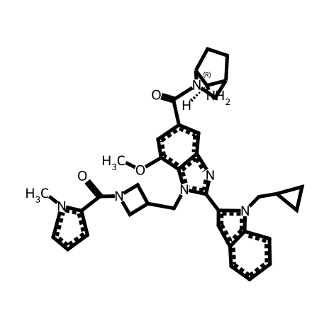 COc1cc(C(=O)N2CC3CCC2[C@@H]3N)cc2nc(-c3cc4ccccc4n3CC3CC3)n(CC3CN(C(=O)c4cccn4C)C3)c12